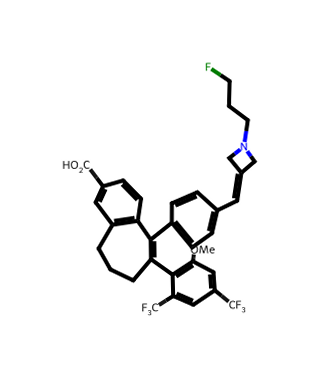 COc1cc(C(F)(F)F)cc(C(F)(F)F)c1C1=C(c2ccc(C=C3CN(CCCF)C3)cc2)c2ccc(C(=O)O)cc2CCC1